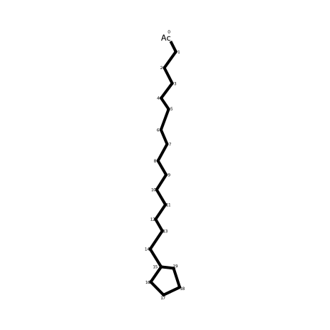 CC(=O)CCCCCCCCCCCCCCC1CCCC1